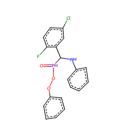 O=[PH](OOc1ccccc1)C(Nc1ccccc1)c1cc(Cl)ccc1F